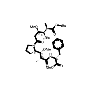 CC[C@H](C)[C@@H]([C@@H](CC(=O)N1CCC[C@H]1[C@H](OC)[C@@H](C)C(=O)N[C@H](Cc1ccccc1)C(=O)OC)OC)N(C)C(=O)OC(C)(C)C